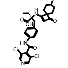 CC[C@@](Cc1ccc(NC(=O)c2c(Cl)cncc2Cl)cc1)(NC1=CC(=O)C12CCC(OC)CC2)C(=O)O